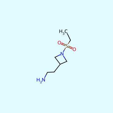 CCS(=O)(=O)N1CC(CCN)C1